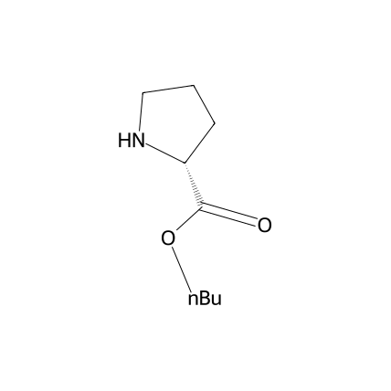 CCCCOC(=O)[C@H]1CCCN1